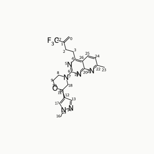 C=C(CCc1nc(N2CCO[C@H](c3cnn(C)c3)C2)nc2nc(C)ccc12)C(F)(F)F